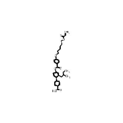 C=CC(=O)OCCCCCCOc1ccc(C(=O)Oc2ccc(-c3ccc(C(=O)O)cc3)c(CC(C)CC)c2)cc1